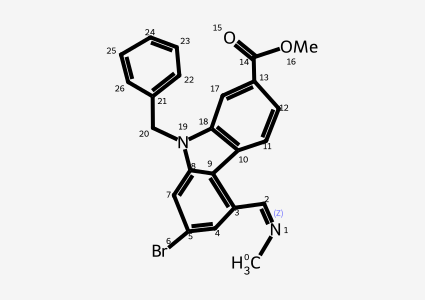 C/N=C\c1cc(Br)cc2c1c1ccc(C(=O)OC)cc1n2Cc1ccccc1